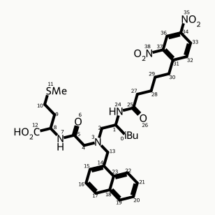 CCC(C)C(CN(CC(=O)NC(CCSC)C(=O)O)Cc1cccc2ccccc12)NC(=O)CCCCc1ccc([N+](=O)[O-])cc1[N+](=O)[O-]